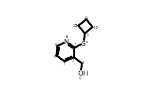 OCc1cccnc1SC1CCC1